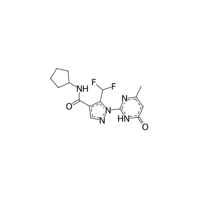 Cc1cc(=O)[nH]c(-n2ncc(C(=O)NC3CCCC3)c2C(F)F)n1